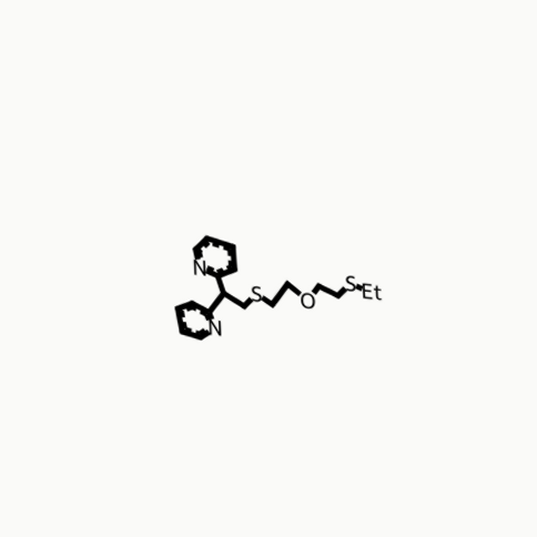 CCSCCOCCSCC(c1ccccn1)c1ccccn1